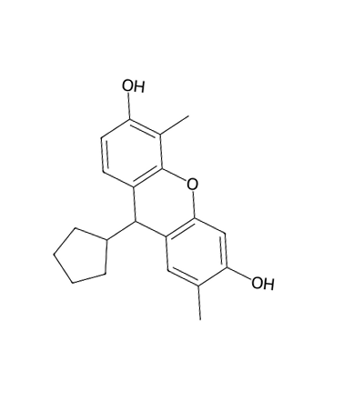 Cc1cc2c(cc1O)Oc1c(ccc(O)c1C)C2C1CCCC1